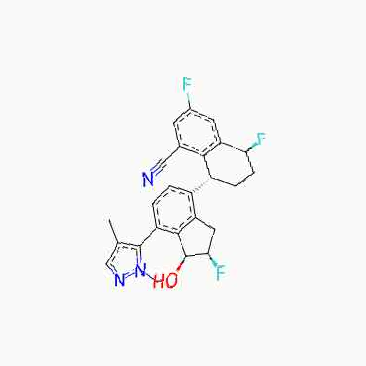 Cc1cnn(C)c1-c1ccc([C@H]2CC[C@H](F)c3cc(F)cc(C#N)c32)c2c1[C@H](O)[C@H](F)C2